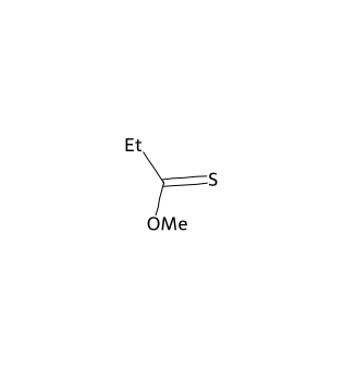 CCC(=S)OC